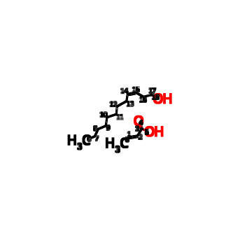 C/C=C/C(=O)O.CCCCCCCC/C=C\CCO